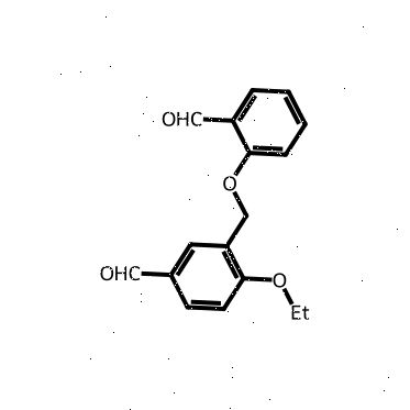 CCOc1ccc(C=O)cc1COc1ccccc1C=O